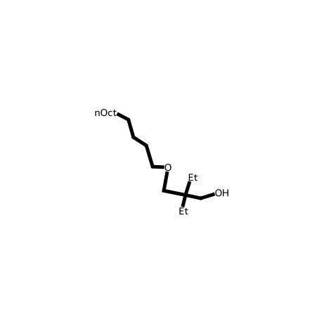 CCCCCCCCCCCCOCC(CC)(CC)CO